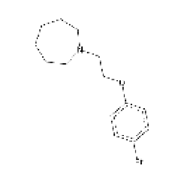 CCc1ccc(OCCN2CCCCCC2)cc1